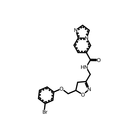 O=C(NCC1=NOC(COc2cccc(Br)c2)C1)c1ccc2nccn2c1